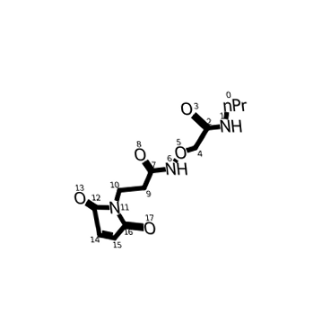 CCCNC(=O)CONC(=O)CCN1C(=O)C=CC1=O